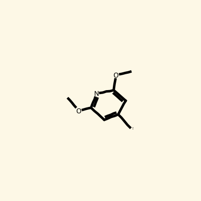 [CH]c1cc(OC)nc(OC)c1